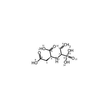 C=CC(N[C@@H](CC(=O)O)C(=O)O)P(=O)(O)O